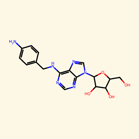 Nc1ccc(CNc2ncnc3c2ncn3C2OC(CO)C(O)C2O)cc1